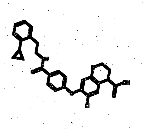 O=C(NCCc1ccccc1C1CC1)c1ccc(Oc2cc3c(cc2Cl)C(C(=O)O)CCO3)cc1